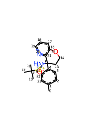 Cc1ccc([C@@]2(N[S@@+]([O-])C(C)(C)C)CCOc3cccnc32)cc1